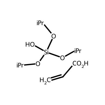 C=CC(=O)O.CC(C)O[Si](O)(OC(C)C)OC(C)C